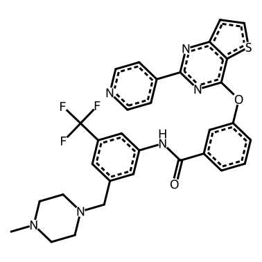 CN1CCN(Cc2cc(NC(=O)c3cccc(Oc4nc(-c5ccncc5)nc5ccsc45)c3)cc(C(F)(F)F)c2)CC1